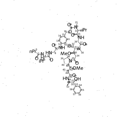 CCCC(=O)NC(C(=O)NCC(=O)Nc1ccc(COC(=O)N(C)C(C(=O)NCC(=O)N(C)C(C(C)CC)[C@@H](CC(=O)N2CCC[C@H]2[C@H](OC)[C@@H](C)C(=O)N[C@H](C)[C@@H](O)c2ccccc2)OC)C(C)C)cc1)C(C)C